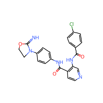 N=C1OCCN1c1ccc(NC(=O)c2ccncc2NC(=O)c2ccc(Cl)cc2)cc1